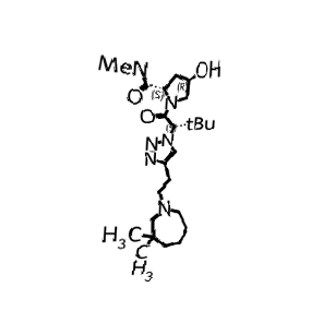 CNC(=O)[C@@H]1C[C@@H](O)CN1C(=O)[C@@H](n1cc(CCN2CCCCC(C)(C)C2)nn1)C(C)(C)C